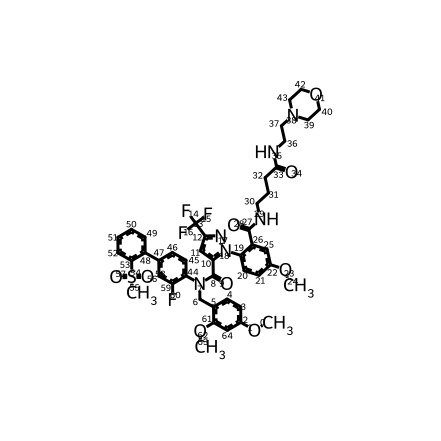 COc1ccc(CN(C(=O)c2cc(C(F)(F)F)nn2-c2ccc(OC)cc2C(=O)NCCCC(=O)NCCN2CCOCC2)c2ccc(-c3ccccc3S(C)(=O)=O)cc2F)c(OC)c1